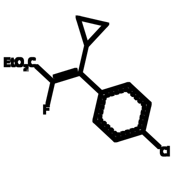 CCOC(=O)/C(F)=C(/c1ccc(Cl)cc1)C1CC1